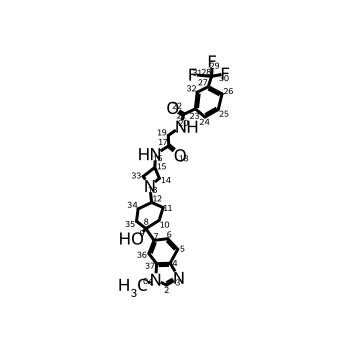 Cn1cnc2ccc(C3(O)CCC(N4CC(NC(=O)CNC(=O)c5cccc(C(F)(F)F)c5)C4)CC3)cc21